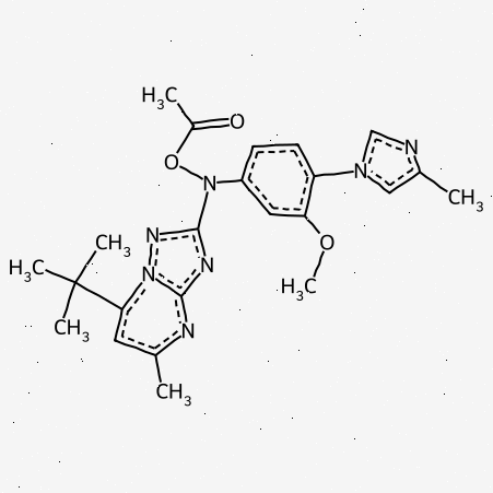 COc1cc(N(OC(C)=O)c2nc3nc(C)cc(C(C)(C)C)n3n2)ccc1-n1cnc(C)c1